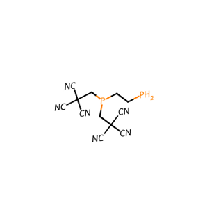 N#CC(C#N)(C#N)CP(CCP)CC(C#N)(C#N)C#N